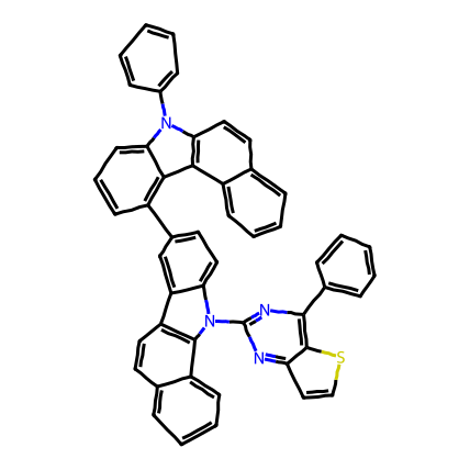 c1ccc(-c2nc(-n3c4ccc(-c5cccc6c5c5c7ccccc7ccc5n6-c5ccccc5)cc4c4ccc5ccccc5c43)nc3ccsc23)cc1